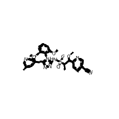 COc1cccc(OC)c1-n1c(NS(=O)(=O)C(C)C(OC)c2ccc(C#N)cn2)nnc1-c1cncc(C)c1